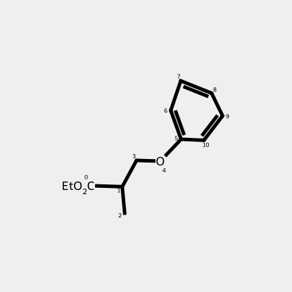 CCOC(=O)C(C)COc1ccccc1